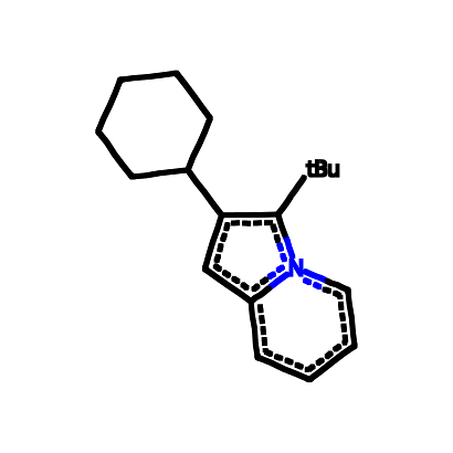 CC(C)(C)c1c(C2CCCCC2)cc2ccccn12